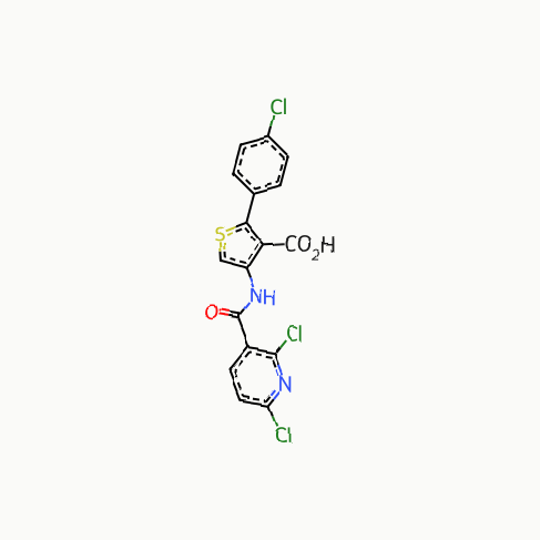 O=C(Nc1csc(-c2ccc(Cl)cc2)c1C(=O)O)c1ccc(Cl)nc1Cl